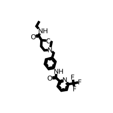 CCNC(=O)C1CCN(Cc2cccc(NC(=O)c3cccc(C(F)(F)F)n3)c2)CC1